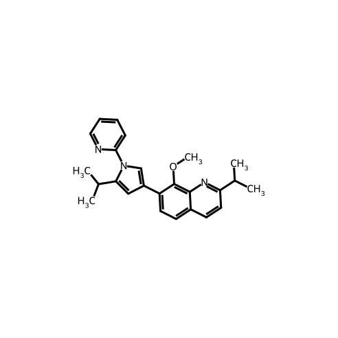 COc1c(-c2cc(C(C)C)n(-c3ccccn3)c2)ccc2ccc(C(C)C)nc12